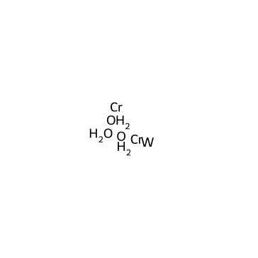 O.O.O.[Cr].[Cr].[W]